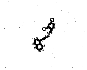 Clc1ccc(C=NCC#Cc2cccc3ccccc23)c(Cl)c1